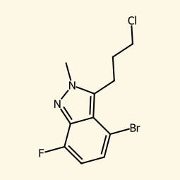 Cn1nc2c(F)ccc(Br)c2c1CCCCl